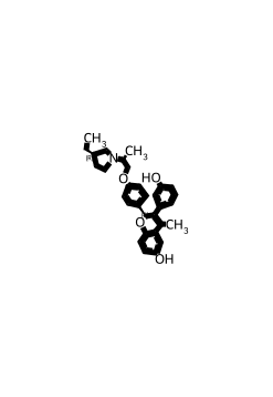 CC[C@@H]1CCN([C@@H](C)COc2ccc([C@@H]3Oc4ccc(O)cc4C(C)=C3c3cccc(O)c3)cc2)C1